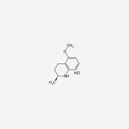 COc1cccc2c1CC[C@H](C)N2.Cl